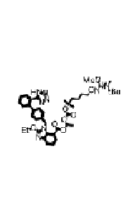 CCOc1nc2cccc(C(=O)OC(C)OC(=O)OC(C)(C)CCCCO/N=[N+](\OC)N(C)C(C)(C)C)c2n1Cc1ccc(-c2ccccc2-c2nnn[nH]2)cc1